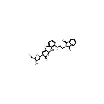 O=C1c2ccccc2C(=O)N1CCNc1cccc2c1Nc1nc(=O)n(C3CC(O)C(CO)O3)cc1O2